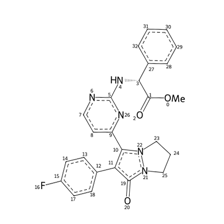 COC(=O)[C@H](Nc1nccc(-c2c(-c3ccc(F)cc3)c(=O)n3n2CCC3)n1)c1ccccc1